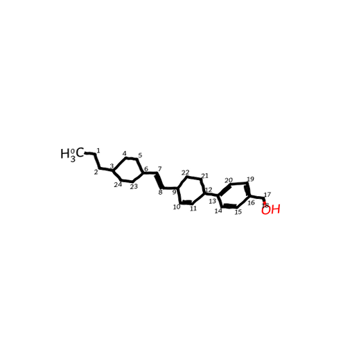 CCCC1CCC(/C=C/C2C=CC(c3ccc(CO)cc3)CC2)CC1